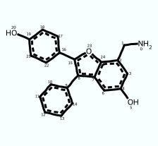 NCc1cc(O)cc2c(-c3ccccc3)c(-c3ccc(O)cc3)oc12